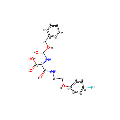 O=C(N[C@H](C(=O)O)C(=O)NCCOc1ccc(F)cc1)OCc1ccccc1